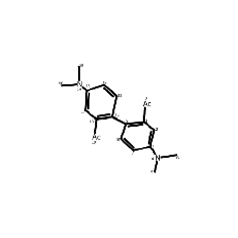 CC(=O)c1cc(N(C)C)ccc1-c1ccc(N(C)C)cc1C(C)=O